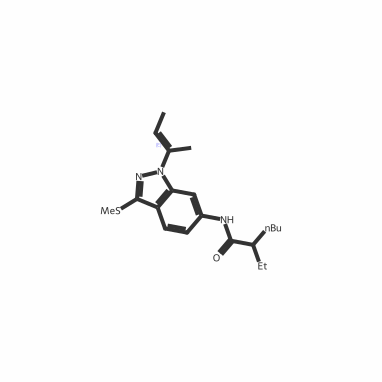 C/C=C(\C)n1nc(SC)c2ccc(NC(=O)C(CC)CCCC)cc21